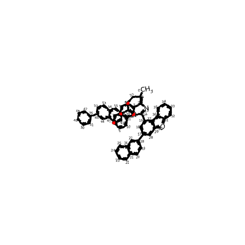 C\C1=C(c2ccc3ccccc3c2)/N=C(c2cc(-c3ccc4ccccc4c3)cc3oc4ccccc4c23)\N=C(\c2ccc3cc(-c4ccccc4)ccc3c2)CC1